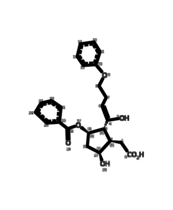 O=C(O)C[C@@H]1[C@@H](C(O)=CCCOc2ccccc2)[C@H](OC(=O)c2ccccc2)C[C@@H]1O